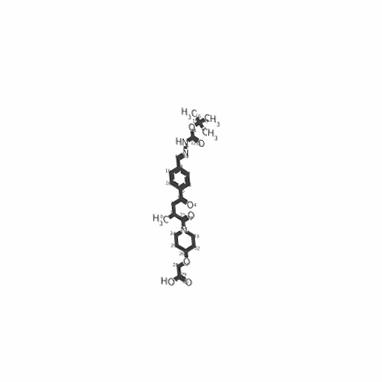 CC(CC(=O)c1ccc(C=NNC(=O)OC(C)(C)C)cc1)C(=O)N1CCC(OCC(=O)O)CC1